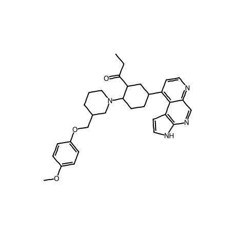 CCC(=O)C1CC(c2ccnc3cnc4[nH]ccc4c23)CCC1N1CCCC(COc2ccc(OC)cc2)C1